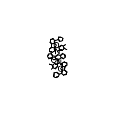 Cc1ccc(N(c2cccc3c2oc2c(-c4ccccc4)cccc23)c2c3ccccc3c(N(c3ccc(C)c(C)c3)c3cccc4c3oc3c(-c5ccccc5)cccc34)c3c2oc2ccccc23)cc1C